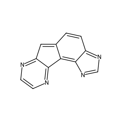 C1=Nc2c3c(ccc2=N1)=Cc1nccnc1-3